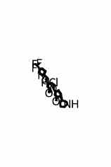 Cl.O=c1cc(OCc2ccc(C(F)(F)F)cn2)ccn1-c1ccc2c3c(oc2c1)CCNC3